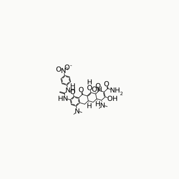 C=C(Nc1ccc([N+](=O)[O-])cc1)Nc1cc(N(C)C)c2c(c1O)C(=O)C1=C(O)[C@@]3(O)C(=O)C(C(N)=O)=C(O)[C@H](N(C)C)[C@H]3C[C@H]1C2